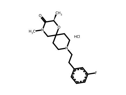 C[C@H]1OC2(CCN(CCc3cccc(F)c3)CC2)CN(C)C1=O.Cl